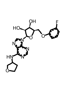 O[C@@H]1[C@H](O)[C@H](n2cnc3c(NC4CCOC4)ncnc32)O[C@@H]1COc1cccc(F)c1